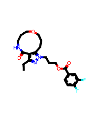 CCc1nn(CCCOC(=O)c2ccc(F)c(F)c2)c2c1C(=O)NCCCOCCC2